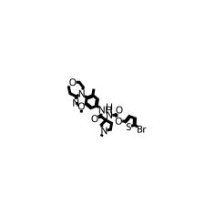 CON=C1CCOCCN1c1ccc(NC(=O)C2(NC(=O)Oc3ccc(Br)s3)CCN(C)C2)cc1C